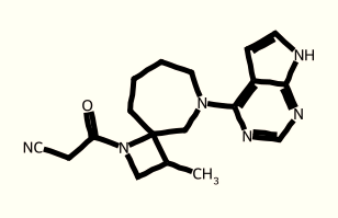 CC1CN(C(=O)CC#N)C12CCCCN(c1ncnc3[nH]ccc13)C2